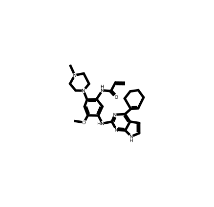 C=CC(=O)Nc1cc(Nc2nc(C3=CCCCC3)c3cc[nH]c3n2)c(OC)cc1N1CCN(C)CC1